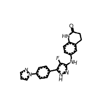 O=C1CCc2cc(Nc3n[nH]c(-c4ccc(-n5cccn5)cc4)c3F)ccc2N1